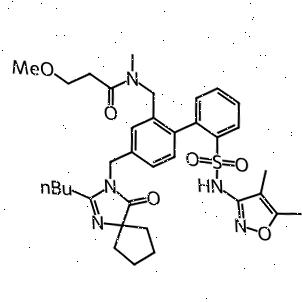 CCCCC1=NC2(CCCC2)C(=O)N1Cc1ccc(-c2ccccc2S(=O)(=O)Nc2noc(C)c2C)c(CN(C)C(=O)CCOC)c1